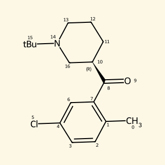 Cc1ccc(Cl)cc1C(=O)[C@@H]1CCCN(C(C)(C)C)C1